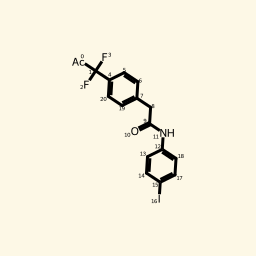 CC(=O)C(F)(F)c1ccc(CC(=O)Nc2ccc(I)cc2)cc1